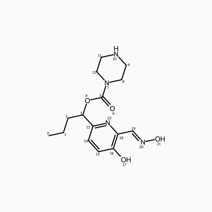 CCCC(OC(=O)N1CCNCC1)c1ccc(O)c(/C=N/O)n1